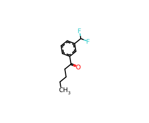 CCCCC(=O)c1cccc(C(F)F)c1